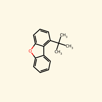 CC(C)(C)c1cccc2oc3ccccc3c12